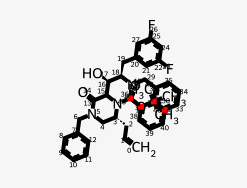 C=CC[C@@H]1CN(Cc2ccccc2)C(=O)C([C@@H](O)[C@@H](Cc2cc(F)cc(F)c2)N(Cc2ccccc2)Cc2ccccc2)N1C(=O)OC(C)(C)C